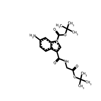 CC(C)(C)OC(=O)CNC(=O)c1cn(C(=O)OC(C)(C)C)c2cc(N)ccc12